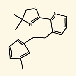 Cc1cccc(CCc2cccnc2C2=NC(C)(C)CO2)c1